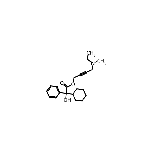 CCN(C)CC#CCOC(=O)C(O)(c1ccccc1)C1CCCCC1